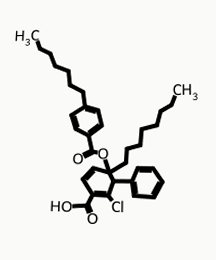 CCCCCCCCC1(OC(=O)c2ccc(CCCCCCC)cc2)C=CC(C(=O)O)=C(Cl)C1c1ccccc1